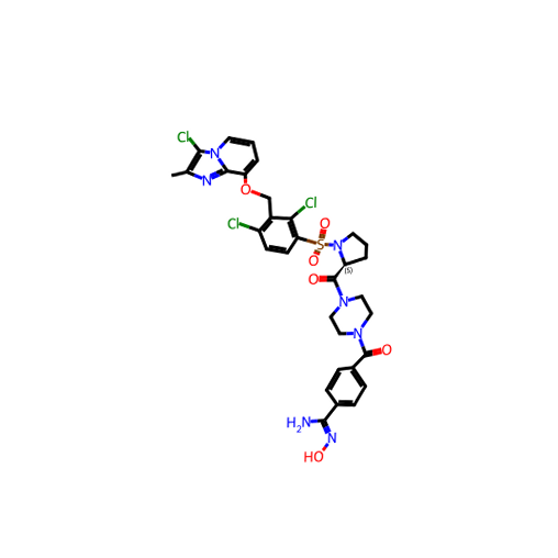 Cc1nc2c(OCc3c(Cl)ccc(S(=O)(=O)N4CCC[C@H]4C(=O)N4CCN(C(=O)c5ccc(C(N)=NO)cc5)CC4)c3Cl)cccn2c1Cl